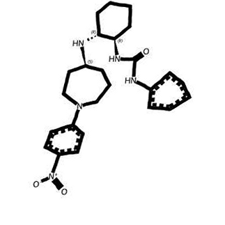 O=C(Nc1ccccc1)N[C@@H]1CCCC[C@H]1N[C@H]1CCCN(c2ccc([N+](=O)[O-])cc2)CC1